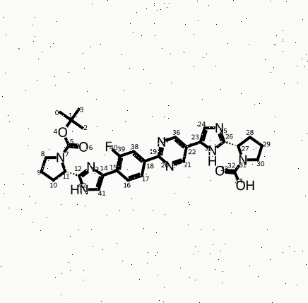 CC(C)(C)OC(=O)N1CCC[C@H]1c1nc(-c2ccc(-c3ncc(-c4cnc([C@@H]5CCCN5C(=O)O)[nH]4)cn3)cc2F)c[nH]1